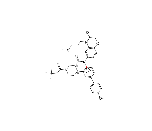 COCCCN1C(=O)COc2ccc(N(C(=O)[C@H]3CN(C(=O)OC(C)(C)C)CC[C@@H]3c3cccc(-c4ccc(OC)cc4)c3)C3CC3)cc21